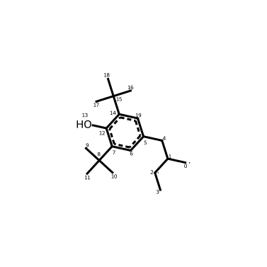 [CH2]C([CH]C)Cc1cc(C(C)(C)C)c(O)c(C(C)(C)C)c1